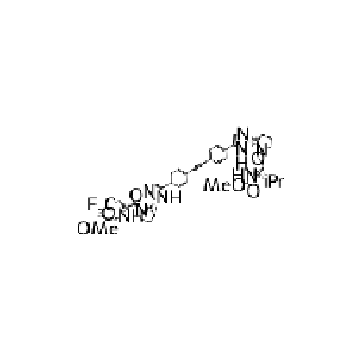 COC(=O)N[C@@H](CC(F)(F)F)C(=O)N1CCC[C@H]1c1ncc(-c2ccc(C#Cc3ccc(-c4cnc([C@@H]5CCCN5OC[C@@H](NC(=O)OC)C(C)C)[nH]4)cc3)cc2)[nH]1